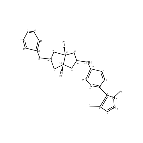 Cc1cnn(C)c1-c1ccc(NC2C[C@@H]3CN(Cc4ccccc4)C[C@@H]3C2)nn1